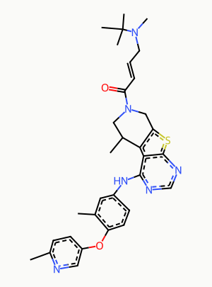 Cc1ccc(Oc2ccc(Nc3ncnc4sc5c(c34)C(C)CN(C(=O)/C=C/CN(C)C(C)(C)C)C5)cc2C)cn1